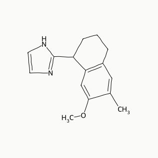 COc1cc2c(cc1C)CCCC2c1ncc[nH]1